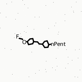 CCCCCC1CCC(CCC2CCC(OCCF)CC2)CC1